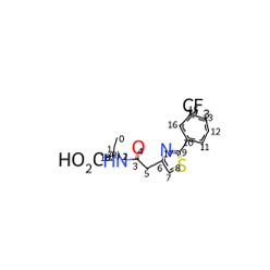 C[C@@H](NC(=O)Cc1csc(-c2cccc(C(F)(F)F)c2)n1)C(=O)O